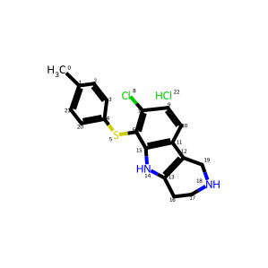 Cc1ccc(Sc2c(Cl)ccc3c4c([nH]c23)CCNC4)cc1.Cl